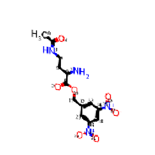 CC(=O)NCCC(N)C(=O)OCc1cc([N+](=O)[O-])cc([N+](=O)[O-])c1